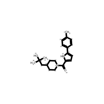 Cc1ccc(-c2ccc(C(=O)N3CCC(CC(C)(C)O)CC3)[nH]2)cc1